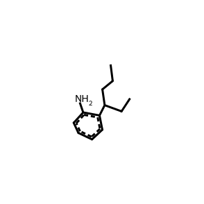 CCCC(CC)c1ccccc1N